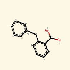 BrC(Br)c1ccccc1Cc1ccccc1